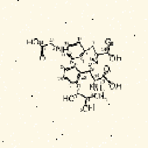 CC(O)CO.NC(Cc1ccccc1)C(=O)O.NC(Cc1ccccc1)C(=O)O.NCC(=O)O